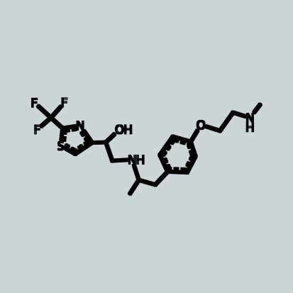 CNCCOc1ccc(CC(C)NCC(O)c2csc(C(F)(F)F)n2)cc1